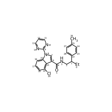 CCC(CNC(=O)c1cn(-c2ncccn2)c2cccc(Cl)c12)c1ccc(C)cc1